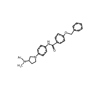 CC(=O)N(C)C1CCN(c2ccc(NC(=O)c3ccc(OCc4ccccc4)cc3)cc2)C1